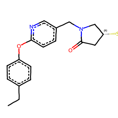 CCc1ccc(Oc2ccc(CN3C[C@H](S)CC3=O)cn2)cc1